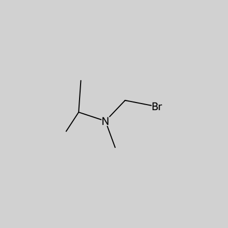 CC(C)N(C)CBr